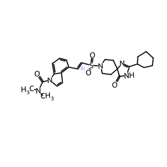 CN(C)C(=O)n1ccc2c(/C=C/S(=O)(=O)N3CCC4(CC3)N=C(C3CCCCC3)NC4=O)cccc21